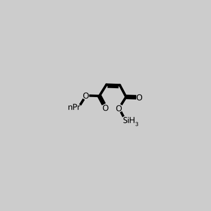 CCCOC(=O)/C=C\C(=O)O[SiH3]